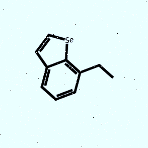 CCc1cccc2cc[se]c12